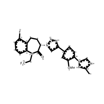 COc1cc(-c2cn([C@H]3CCc4c(F)cccc4N(CC(F)(F)F)C3=O)nn2)ccc1-n1cnc(C)n1